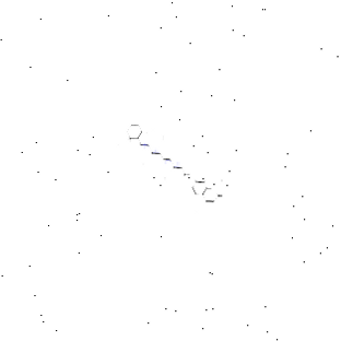 CC1=C(/C=C/C(C)=C/C=C/C(C)=C/C(=O)Oc2ccc3c(C)cc(=O)oc3c2C)C(C)(C)CCC1